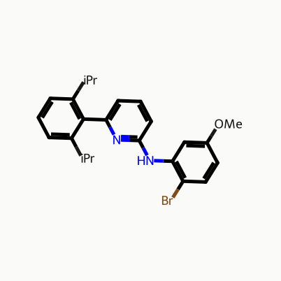 COc1ccc(Br)c(Nc2cccc(-c3c(C(C)C)cccc3C(C)C)n2)c1